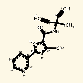 C#CC(C)(C#C)NC(=O)c1sc(-c2cccnc2)nc1Cl